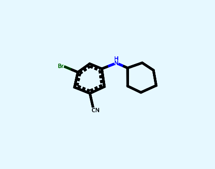 N#Cc1cc(Br)cc(NC2CCCCC2)c1